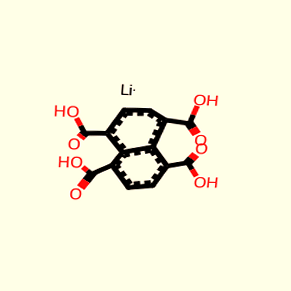 O=C(O)c1ccc(C(=O)O)c2c(C(=O)O)ccc(C(=O)O)c12.[Li]